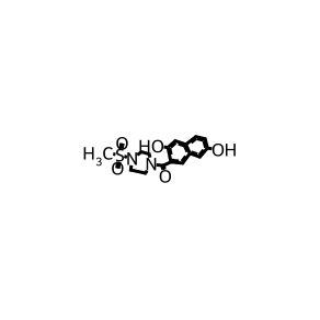 CS(=O)(=O)N1CCN(C(=O)c2cc3cc(O)ccc3cc2O)CC1